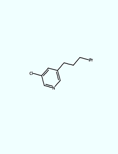 [CH2]C(C)CCCc1cncc(Cl)c1